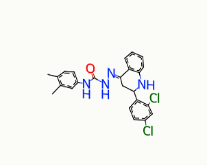 Cc1ccc(NC(=O)NN=C2CC(c3ccc(Cl)cc3Cl)Nc3ccccc32)cc1C